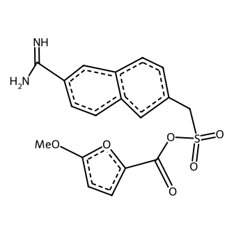 COc1ccc(C(=O)OS(=O)(=O)Cc2ccc3cc(C(=N)N)ccc3c2)o1